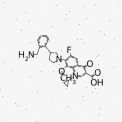 COc1c(N2CCC(c3ccccc3CN)C2)c(F)cc2c(=O)c(C(=O)O)cn(C3CC3)c12